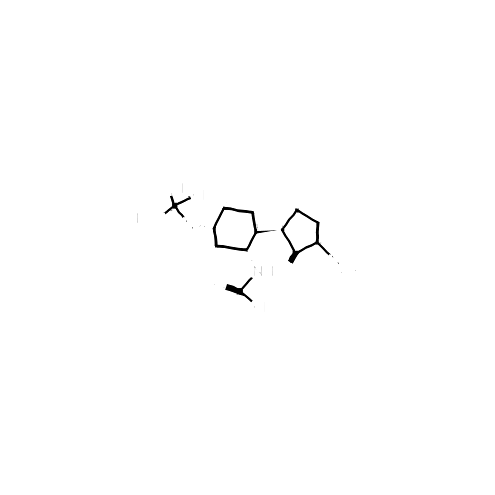 CC(=O)N[C@@H]1C[C@H](NC(C)(C)C)CCC1[C@H]1CCC(N)C1=O